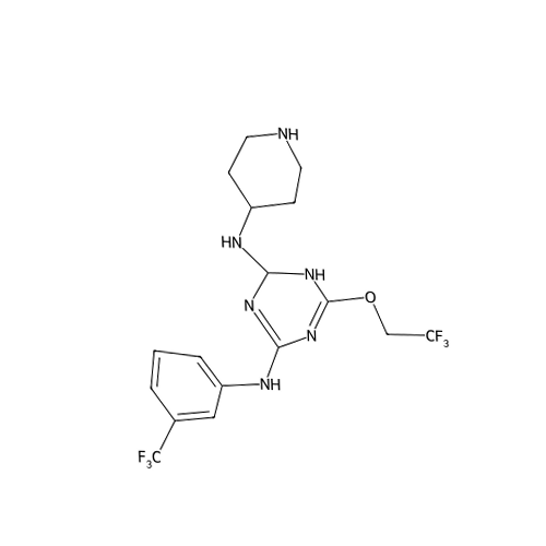 FC(F)(F)COC1=NC(Nc2cccc(C(F)(F)F)c2)=NC(NC2CCNCC2)N1